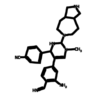 CN1C=C(c2ccc(C=N)c(N)c2)C(c2ccc(C#N)cc2)NC1N1CCC2CNCC2CC1